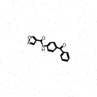 O=C(Nc1ccc(C(=O)c2ccccc2)cc1)c1cnoc1